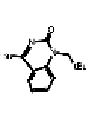 CC(C)(C)Cn1c(=O)nc(C(C)(C)C)c2ccccc21